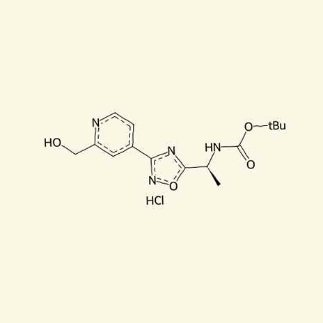 C[C@H](NC(=O)OC(C)(C)C)c1nc(-c2ccnc(CO)c2)no1.Cl